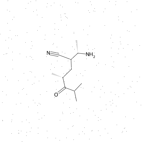 CC(C)C(=O)[C@H](C)CC(C#N)[C@H](C)N